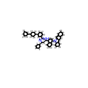 C1=C(c2ccccc2)N=C(c2cccc(-c3ccc(-c4ccccc4)cc3)c2)NC1c1ccc(-n2c3ccccc3c3cc4ccccc4cc32)c2ccccc12